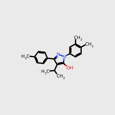 Cc1ccc(-c2nn(-c3ccc(C)c(C)c3)c(O)c2C(C)C)cc1